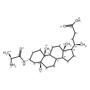 C[C@H](N)C(=O)N[C@@H]1CC[C@]2(C)C3CC[C@@]4(C)C(CCC4[C@H](C)CCC(=O)O)C3CC[C@@H]2C1